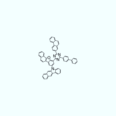 c1ccc(-c2ccc(-c3nc(-c4ccc5c(ccc6ccccc65)c4)nc(-c4cc(-n5c6ccccc6c6cc7ccccc7cc65)cc5c4oc4c6ccccc6ccc54)n3)cc2)cc1